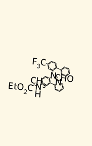 CCOC(=O)C(C)Nc1ccc(N(C=O)c2cc(C(F)(F)F)ccc2-c2ccccc2)c(-c2ccccn2)c1